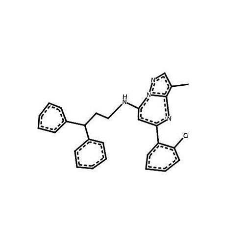 Cc1cnn2c(NCCC(c3ccccc3)c3ccccc3)cc(-c3ccccc3Cl)nc12